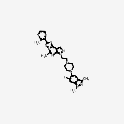 Cc1nccnc1-c1nc2c3cnn(CCN4CCN(c5cc6c(C)nn(C)c6cc5F)CC4)c3nc(N)n2n1